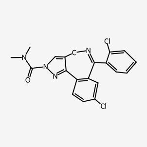 CN(C)C(=O)n1cc2c(n1)-c1ccc(Cl)cc1C(c1ccccc1Cl)=NC2